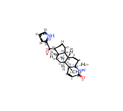 C[C@]12C=CC(=O)N[C@@H]1CC[C@@H]1[C@@H]2CC[C@]2(C)[C@@H](C(=O)c3ccc[nH]3)CC[C@@H]12